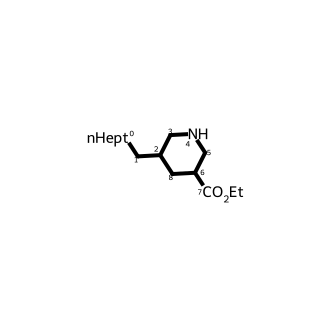 CCCCCCCCC1CNCC(C(=O)OCC)C1